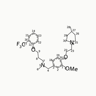 COc1cc(CN(C)CCCOc2ccccc2C(F)(F)F)ccc1OCCN1CCC(C)CC1